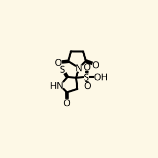 O=C1CC(N2C(=O)CCC2=O)(S(=O)(=O)O)C(=S)N1